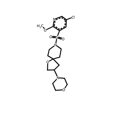 COc1ncc(Cl)cc1S(=O)(=O)N1CCC2(CC1)CC(N1CCOCC1)CO2